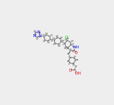 O=C(O)Cc1ccc(C=C2C(=O)Nc3cc(Cl)c(-c4ccc(-c5ccc(-n6cncn6)cc5)cc4)cc32)cc1